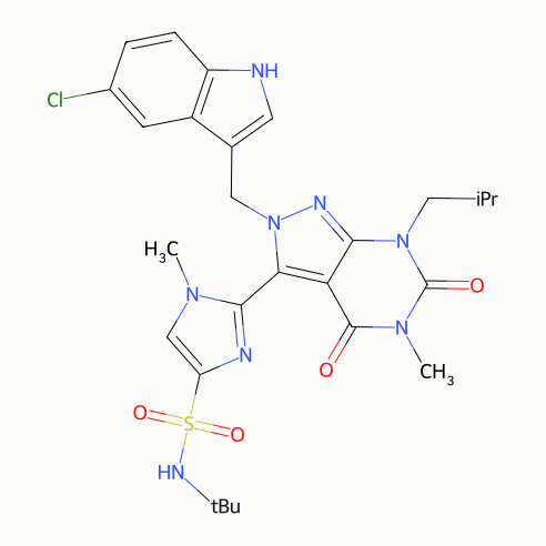 CC(C)Cn1c(=O)n(C)c(=O)c2c(-c3nc(S(=O)(=O)NC(C)(C)C)cn3C)n(Cc3c[nH]c4ccc(Cl)cc34)nc21